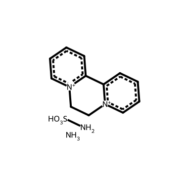 N.NS(=O)(=O)O.c1cc[n+]2c(c1)-c1cccc[n+]1CC2